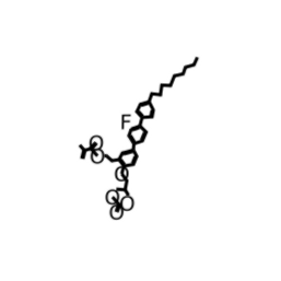 C=C(C)C(=O)OCCc1cc(-c2ccc(-c3ccc(CCCCCCCCC)cc3)c(F)c2)ccc1OCC1COC(=O)OC1